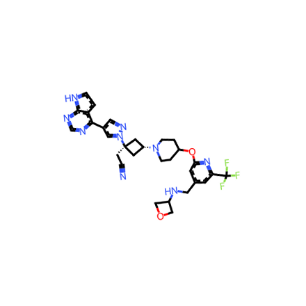 N#CC[C@]1(n2cc(-c3ncnc4[nH]ccc34)cn2)C[C@H](N2CCC(Oc3cc(CNC4COC4)cc(C(F)(F)F)n3)CC2)C1